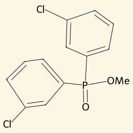 COP(=O)(c1cccc(Cl)c1)c1cccc(Cl)c1